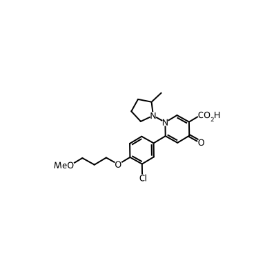 COCCCOc1ccc(-c2cc(=O)c(C(=O)O)cn2N2CCCC2C)cc1Cl